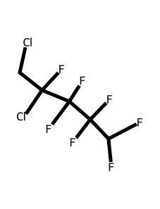 FC(F)C(F)(F)C(F)(F)C(F)(Cl)CCl